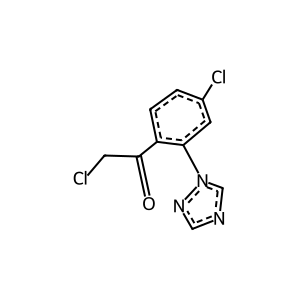 O=C(CCl)c1ccc(Cl)cc1-n1cncn1